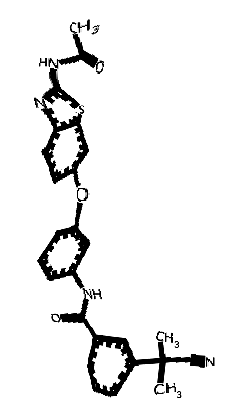 CC(=O)Nc1nc2ccc(Oc3cccc(NC(=O)c4cccc(C(C)(C)C#N)c4)c3)cc2s1